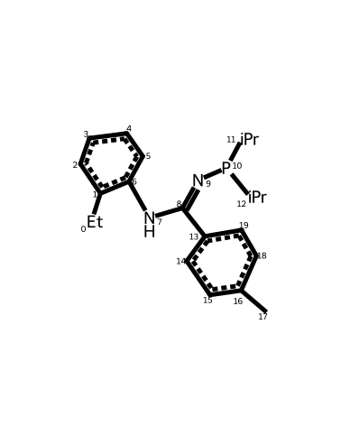 CCc1ccccc1NC(=NP(C(C)C)C(C)C)c1ccc(C)cc1